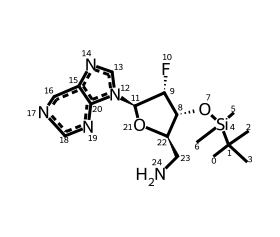 CC(C)(C)[Si](C)(C)O[C@H]1[C@@H](F)[C@H](n2cnc3cncnc32)O[C@@H]1CN